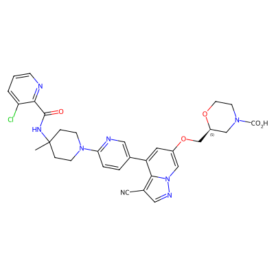 CC1(NC(=O)c2ncccc2Cl)CCN(c2ccc(-c3cc(OC[C@@H]4CN(C(=O)O)CCO4)cn4ncc(C#N)c34)cn2)CC1